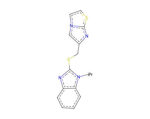 CC(C)n1c(SCc2cn3ccsc3n2)nc2ccccc21